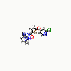 O=C(N[C@@H]1C[C@H]2CC[C@@H]1N2)c1ccc(Oc2ccnc(Cl)c2)s1